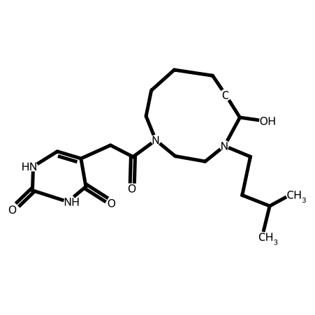 CC(C)CCN1CCN(C(=O)Cc2c[nH]c(=O)[nH]c2=O)CCCCCC1O